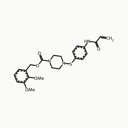 C=CC(=O)Nc1ccc(SN2CCN(C(=O)OCc3cccc(OC)c3OC)CC2)cc1